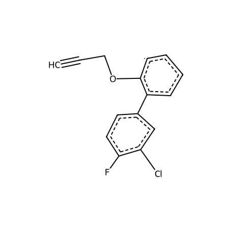 C#CCOc1[c]cccc1-c1ccc(F)c(Cl)c1